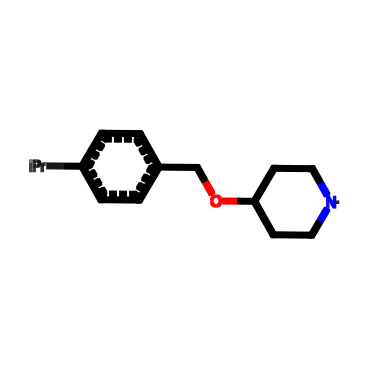 CC(C)c1ccc(COC2CC[N]CC2)cc1